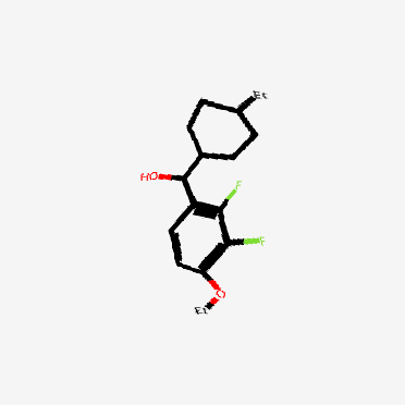 CCOc1ccc(C(O)C2CCC(CC)CC2)c(F)c1F